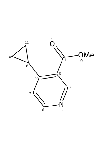 COC(=O)c1cnccc1C1CC1